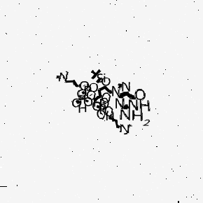 CN(C)CCCOP(=O)(O)OCC1OC(n2cnc3c(=O)[nH]c(N)nc32)C(O[Si](C)(C)C(C)(C)C)C1OP(=O)(OCCCN(C)C)O[PH](=O)O